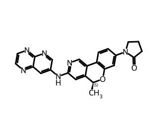 C[C@@H]1Oc2cc(N3CCCC3=O)ccc2-c2cnc(Nc3cnc4nccnc4c3)cc21